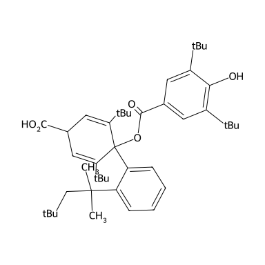 CC(C)(C)CC(C)(C)c1ccccc1C1(OC(=O)c2cc(C(C)(C)C)c(O)c(C(C)(C)C)c2)C(C(C)(C)C)=CC(C(=O)O)C=C1C(C)(C)C